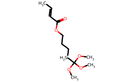 CC=CC(=O)OCCC[SiH2]C(OC)(OC)OC